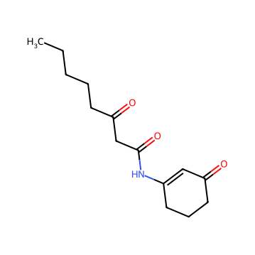 CCCCCC(=O)CC(=O)NC1=CC(=O)CCC1